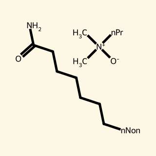 CCCCCCCCCCCCCCCC(N)=O.CCC[N+](C)(C)[O-]